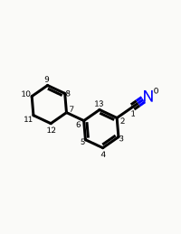 N#Cc1cccc(C2C=CCCC2)c1